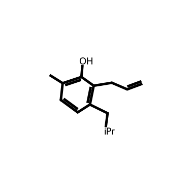 C=CCc1c(CC(C)C)ccc(C)c1O